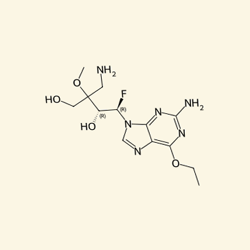 CCOc1nc(N)nc2c1ncn2[C@H](F)[C@H](O)C(CN)(CO)OC